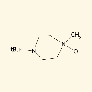 CC(C)(C)N1CC[N+](C)([O-])CC1